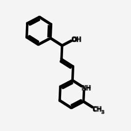 CC1=CCC=C(/C=C/C(O)c2ccccc2)N1